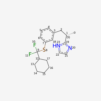 C[C@@H](Cc1cccc(SC(F)(F)C2CCCCC2)c1)c1ncc[nH]1